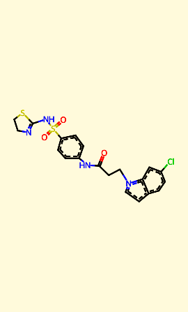 O=C(CCn1ccc2ccc(Cl)cc21)Nc1ccc(S(=O)(=O)NC2=NCCS2)cc1